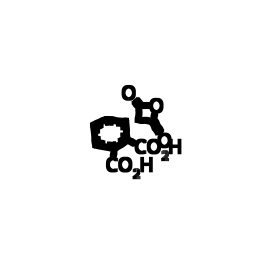 O=C(O)c1ccccc1C(=O)O.O=C1CC(=O)O1